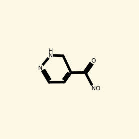 O=NC(=O)C1=CC=NNC1